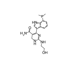 CP(C)c1cccc2c(C3=C(C(N)=O)CNC(NCCO)=N3)c[nH]c12